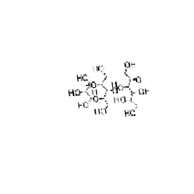 O=C(CO)C(O)C(O)C(O)CO.OCC(O)C(O)C(O)CO.OCC(O)CO